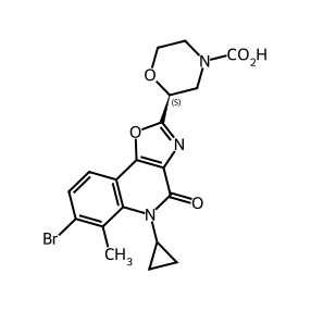 Cc1c(Br)ccc2c3oc([C@@H]4CN(C(=O)O)CCO4)nc3c(=O)n(C3CC3)c12